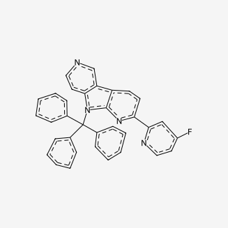 Fc1ccnc(-c2ccc3c4cnccc4n(C(c4ccccc4)(c4ccccc4)c4ccccc4)c3n2)c1